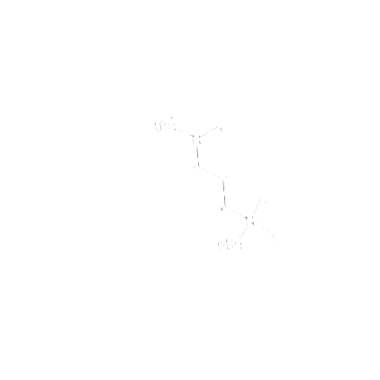 CCCC[N+](C)(C)CCCN(C)C(C)(C)C